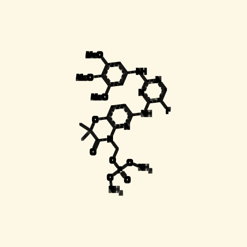 COc1cc(Nc2ncc(F)c(Nc3ccc4c(n3)N(COP(=O)(ON)ON)C(=O)C(C)(C)O4)n2)cc(OC)c1OC